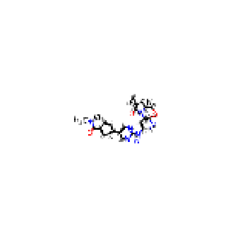 CN(C)C(=O)c1ccc(-c2cnc(Nc3cnc4c(c3)N3C(=O)C5(CC5)C[C@H]3CO4)nc2)cc1